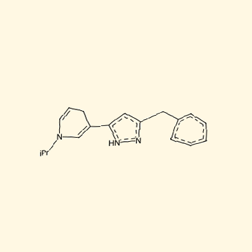 CC(C)N1C=CCC(c2cc(Cc3ccccc3)n[nH]2)=C1